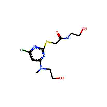 CN(CCO)c1cc(Cl)nc(SCC(=O)NCCO)n1